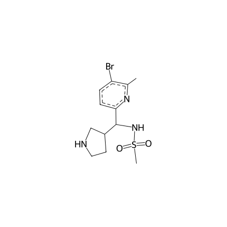 Cc1nc(C(NS(C)(=O)=O)C2CCNC2)ccc1Br